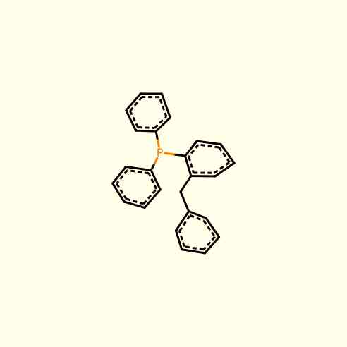 c1ccc(Cc2ccccc2P(c2ccccc2)c2ccccc2)cc1